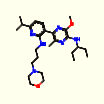 CCC(CC)Nc1nc(C)c(-c2ccc(C(C)C)nc2NCCCN2CCOCC2)nc1OC